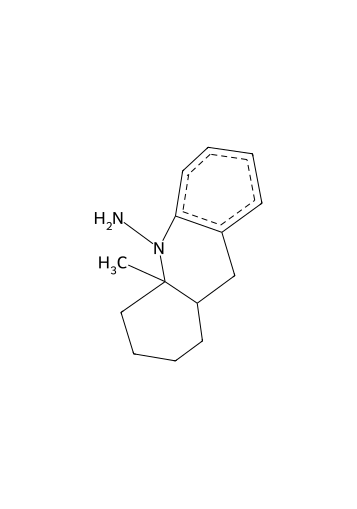 CC12CCCCC1Cc1ccccc1N2N